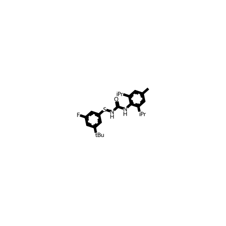 Cc1cc(C(C)C)c(NC(=O)NSc2cc(F)cc(C(C)(C)C)c2)c(C(C)C)c1